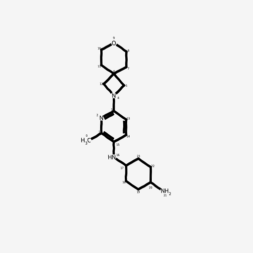 Cc1nc(N2CC3(CCOCC3)C2)ccc1NC1CCC(N)CC1